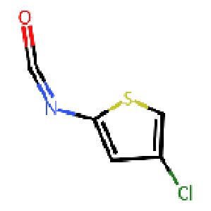 O=C=Nc1cc(Cl)cs1